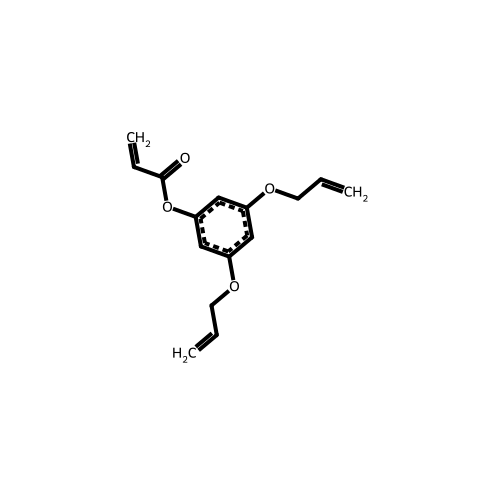 C=CCOc1cc(OCC=C)cc(OC(=O)C=C)c1